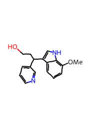 COc1cccc2c(C(CCO)c3cccnc3)c[nH]c12